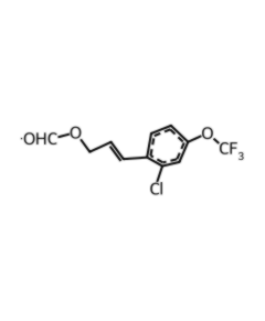 O=[C]OCC=Cc1ccc(OC(F)(F)F)cc1Cl